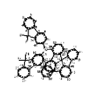 CC1(C)c2ccccc2-c2ccc(N(c3ccc4c(c3)C(C)(C)c3ccccc3-4)c3cccc4c3-c3ccccc3C43c4ccccc4-c4cccc(-c5ccccc5)c43)cc21